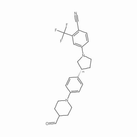 N#Cc1ccc(N2CC[C@H](c3ccc(N4CCC(C=O)CC4)cc3)C2)cc1C(F)(F)F